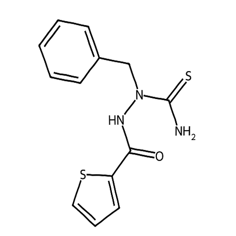 NC(=S)N(Cc1ccccc1)NC(=O)c1cccs1